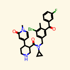 Cc1c(Br)cc(CN(C(=O)C2CNCCC2c2ccn(C)c(=O)c2)C2CC2)cc1C(=O)c1cccc(F)c1